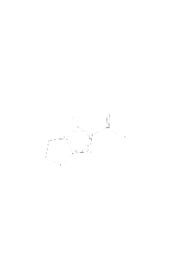 O=C(O)c1cn2c(n1)CCC2.[LiH]